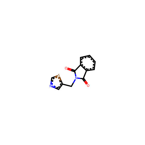 O=C1c2ccccc2C(=O)N1Cc1cncs1